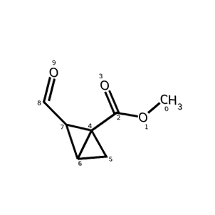 COC(=O)C12CC1C2C=O